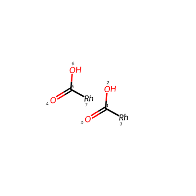 O=[C](O)[Rh].O=[C](O)[Rh]